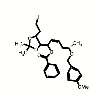 COc1ccc(CO[C@@H](C)C/C=C\C(OC(=O)c2ccccc2)C2OC(C)(C)OC2CCI)cc1